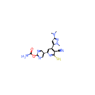 CN(C)c1cc(-c2cc(-c3cnc(OC(N)=O)nc3)nc(S)c2C#N)n(C)n1